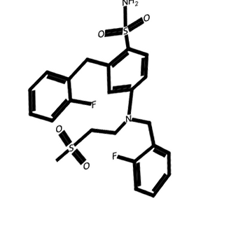 CS(=O)(=O)CCN(Cc1ccccc1F)c1ccc(S(N)(=O)=O)c(Cc2ccccc2F)c1